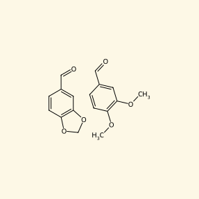 COc1ccc(C=O)cc1OC.O=Cc1ccc2c(c1)OCO2